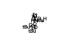 CCC(C)N[C@@](Cc1ccc(OC(=O)CC(C)(C)C)c(OC(=O)CC(C)(C)C)c1)(OC(=O)C(C)(C)CC)C(=O)O